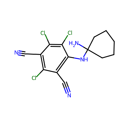 N#Cc1c(Cl)c(Cl)c(NC2(N)CCCCC2)c(C#N)c1Cl